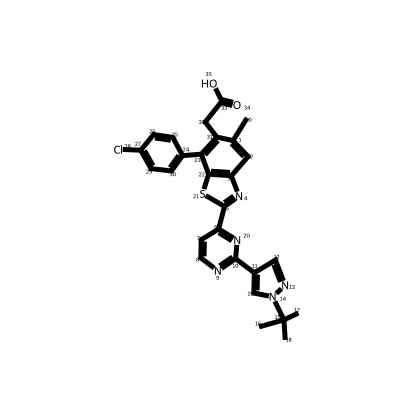 Cc1cc2nc(-c3ccnc(-c4cnn(C(C)(C)C)c4)n3)sc2c(-c2ccc(Cl)cc2)c1CC(=O)O